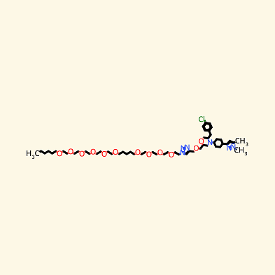 CCCCCCOCCOCCOCCOCCOCCOCCCCCOCCOCCOCCOCCn1cc(COCC2CN(C3CCC(c4cc(C)n(C)n4)CC3)C(Cc3ccc(Cl)cc3)CO2)nn1